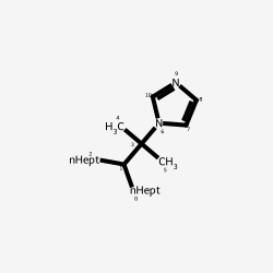 CCCCCCCC(CCCCCCC)C(C)(C)n1ccnc1